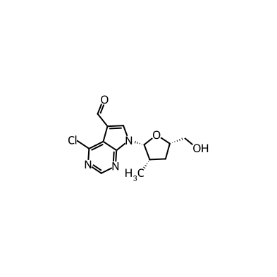 C[C@H]1C[C@@H](CO)O[C@H]1n1cc(C=O)c2c(Cl)ncnc21